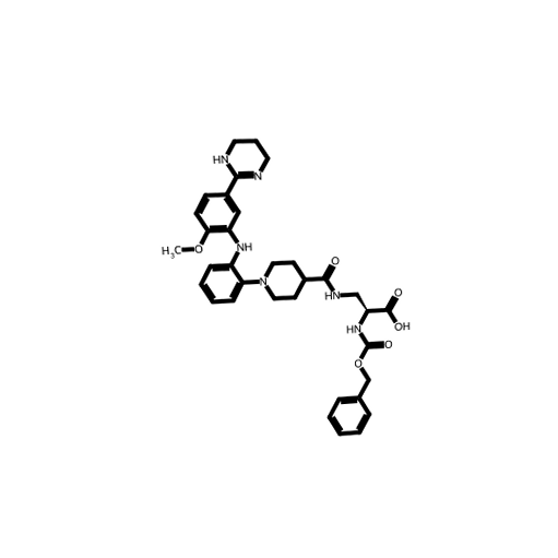 COc1ccc(C2=NCCCN2)cc1Nc1ccccc1N1CCC(C(=O)NC[C@H](NC(=O)OCc2ccccc2)C(=O)O)CC1